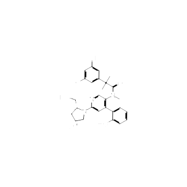 CN(C(=O)C(C)(C)c1cc(C(F)(F)F)cc(C(F)(F)F)c1)c1cnc(N2C[C@H](O)C[C@H]2CO)cc1-c1ccccc1O